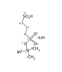 CC(C)[Si](C)(C)OS(=O)(=O)CCCS(=O)(=O)O.[LiH]